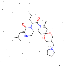 CC(C)CC(C(=O)N1CCC2(C[C@@H]1C)OCC(CN1CCCC1)CO2)N1CCN[C@@H](CC(C)C)C1=O